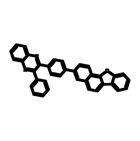 c1ccc(-c2nc3ccccc3nc2-c2ccc(-c3ccc4c(ccc5c6ccccc6oc45)c3)cc2)cc1